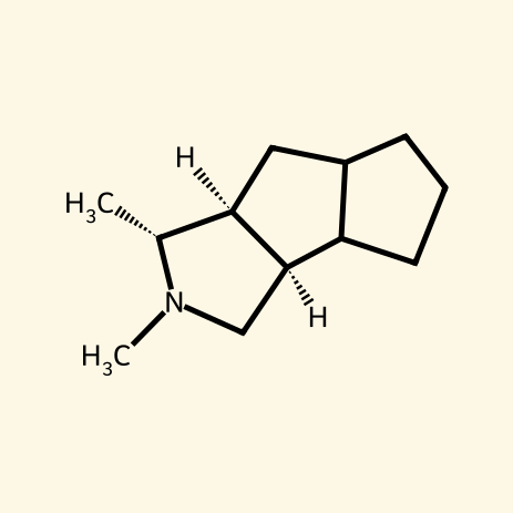 C[C@@H]1[C@H]2CC3CCCC3[C@H]2CN1C